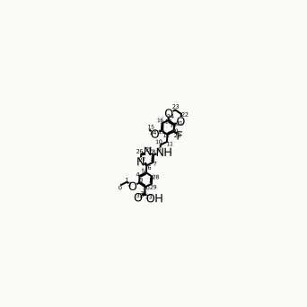 CCOc1cc(-c2cc(NCCc3c(OC)cc4c(c3F)OCCO4)ncn2)ccc1C(=O)O